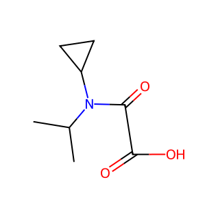 CC(C)N(C(=O)C(=O)O)C1CC1